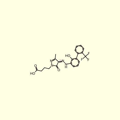 CC1=NN(CCCC(=O)O)C(=O)/C1=N\Nc1cccc(-c2ccccc2C(F)(F)F)c1O